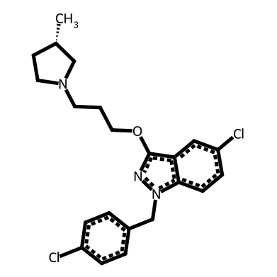 C[C@H]1CCN(CCCOc2nn(Cc3ccc(Cl)cc3)c3ccc(Cl)cc23)C1